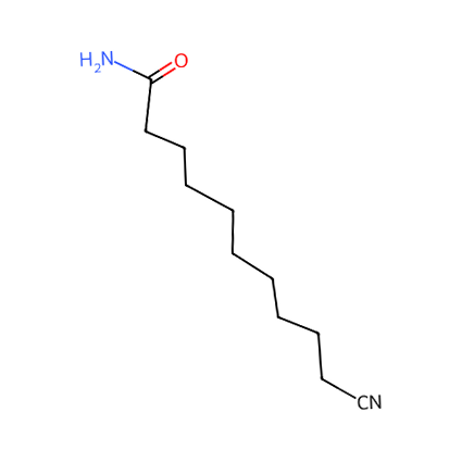 N#CCCCCCCCCCC(N)=O